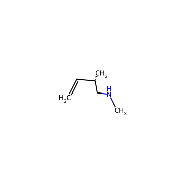 C=C[C@H](C)CNC